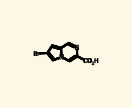 O=C(O)c1cn2cc(Br)cc2cn1